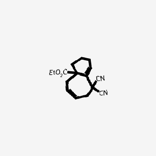 CCOC(=O)C12CC=CCC(C#N)(C#N)C1=CCCC2